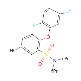 CCCN(CCC)S(=O)(=O)c1cc(C#N)ccc1Oc1cc(F)ccc1F